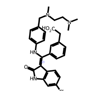 CN(C)CCN(C)Cc1ccc(N/C(=C2\C(=O)Nc3cc(Cl)ccc32)c2cccc(CC(=O)O)c2)cc1